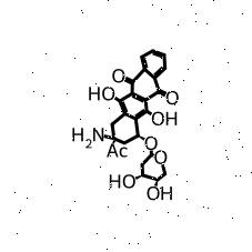 CC(=O)[C@]1(N)Cc2c(O)c3c(c(O)c2[C@@H](OC2C[C@H](O)[C@H](O)CO2)C1)C(=O)c1ccccc1C3=O